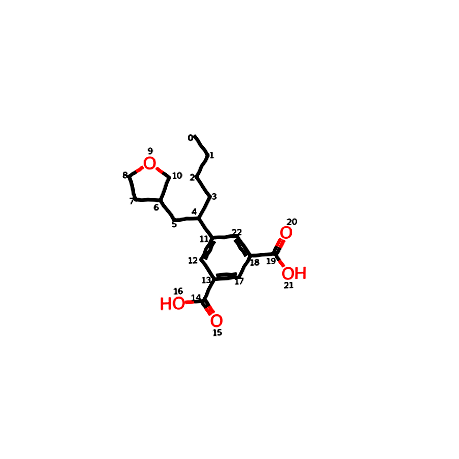 CCCCC(CC1CCOC1)c1cc(C(=O)O)cc(C(=O)O)c1